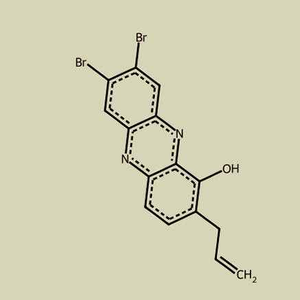 C=CCc1ccc2nc3cc(Br)c(Br)cc3nc2c1O